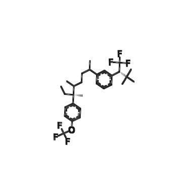 CC[C@](C)(c1ccc(OC(F)(F)F)cc1)C(C)CCC(C)c1cccc([C@@H](C(C)(C)C)C(F)(F)F)c1